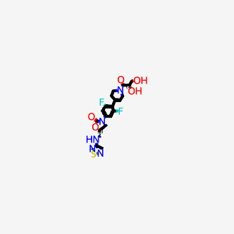 O=C([C@@H](O)CO)N1CC=C(c2c(F)cc(N3C[C@H](CNc4cnsn4)OC3=O)cc2F)CC1